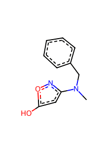 CN(Cc1ccccc1)c1cc(O)on1